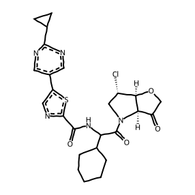 O=C(NC(C(=O)N1C[C@H](Cl)[C@H]2OCC(=O)[C@H]21)C1CCCCC1)c1ncc(-c2cnc(C3CC3)nc2)s1